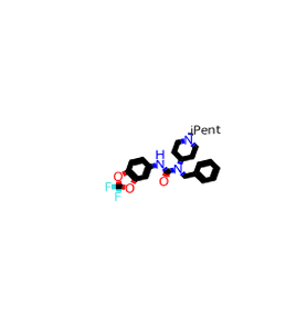 CCCC(C)N1CCC(N(Cc2ccccc2)C(=O)Nc2ccc3c(c2)OC(F)(F)O3)CC1